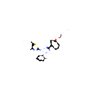 Cc1nc(N2N=C(c3cccc(OCC(=O)O)c3)NN2c2ccccc2S(=O)(=O)O)sc1C